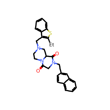 CCc1sc2ccccc2c1CN1CCN2C(=O)CN(Cc3ccc4ccccc4c3)C(=O)C2C1